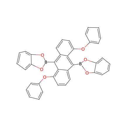 c1ccc(Oc2cccc3c(B4Oc5ccccc5O4)c4c(Oc5ccccc5)cccc4c(B4Oc5ccccc5O4)c23)cc1